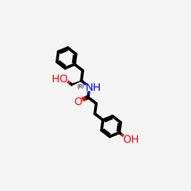 O=C(CCc1ccc(O)cc1)N[C@@H](CO)Cc1ccccc1